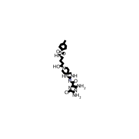 Cc1ccc(S(=O)(=O)NCCCC(O)N2CCC3(CC2)CN/C(=N\C(=O)c2nc(Cl)c(N)nc2N)N3)cc1